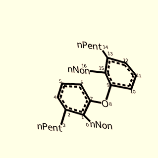 CCCCCCCCCc1c(CCCCC)cccc1Oc1cccc(CCCCC)c1CCCCCCCCC